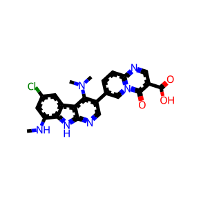 CNc1cc(Cl)cc2c1[nH]c1ncc(-c3ccc4ncc(C(=O)O)c(=O)n4c3)c(N(C)C)c12